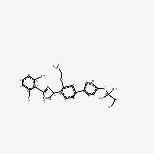 CCOc1cc(-c2ccc(OC(F)(F)CF)nc2)ccc1C1COC(c2c(F)cccc2F)=N1